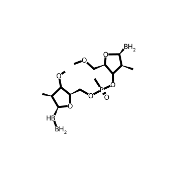 BB[C@@H]1O[C@H](COP(C)(=O)OC2[C@@H](COC)O[C@@H](B)[C@H]2C)C(OC)[C@@H]1C